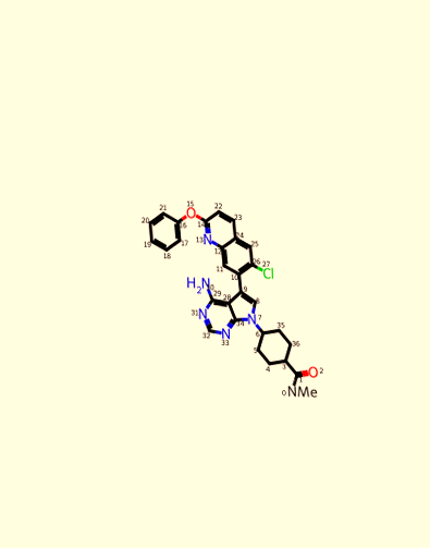 CNC(=O)C1CCC(n2cc(-c3cc4nc(Oc5ccccc5)ccc4cc3Cl)c3c(N)ncnc32)CC1